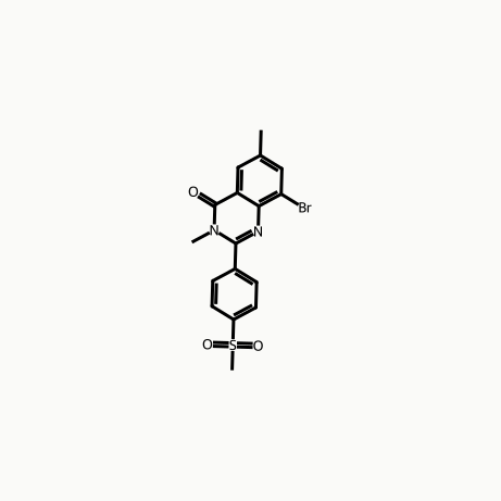 Cc1cc(Br)c2nc(-c3ccc(S(C)(=O)=O)cc3)n(C)c(=O)c2c1